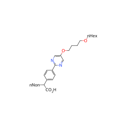 CCCCCCCCCC(C(=O)O)c1ccc(-c2ncc(OCCCCOCCCCCC)cn2)cc1